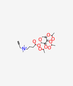 C#CC[N+](C)(C)CCCC(=O)OC1OC[C@H](OC(C)=O)[C@H](OC(C)=O)[C@H]1OC(C)=O